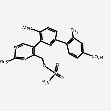 COc1ccc(-c2ccc(C(=O)O)cc2C)cc1-c1cnc(SC)nc1COS(C)(=O)=O